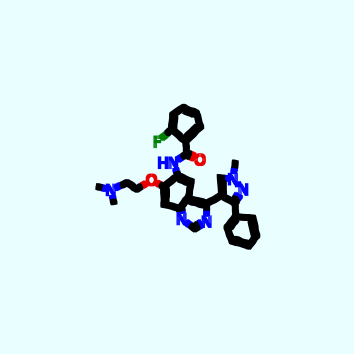 CN(C)CCOc1cc2ncnc(-c3cn(C)nc3-c3ccccc3)c2cc1NC(=O)c1ccccc1F